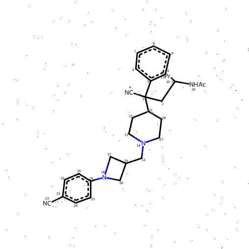 CCCC(CC(C#N)(c1ccccc1)C1CCN(CC2CN(c3ccc(C#N)cc3)C2)CC1)NC(C)=O